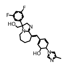 Cc1cn(C2C=CC(/C=C3\CCCCN4C3=NCC4(CO)c3cc(F)cc(F)c3)=CC2O)cn1